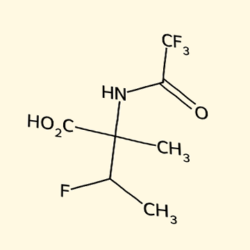 CC(F)C(C)(NC(=O)C(F)(F)F)C(=O)O